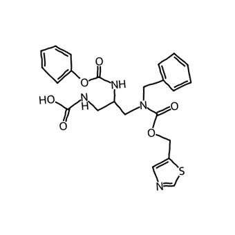 O=C(O)NCC(CN(Cc1ccccc1)C(=O)OCc1cncs1)NC(=O)Oc1ccccc1